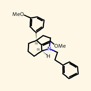 COC=C1[C@@H]2CCC[C@@]1(c1cccc(OC)c1)CCN2CCc1ccccc1